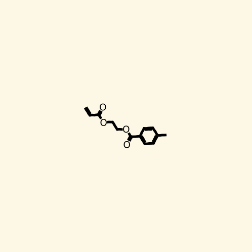 C=CC(=O)OCCOC(=O)c1ccc(C)cc1